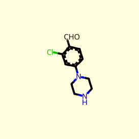 O=Cc1ccc(N2CCNCC2)cc1Cl